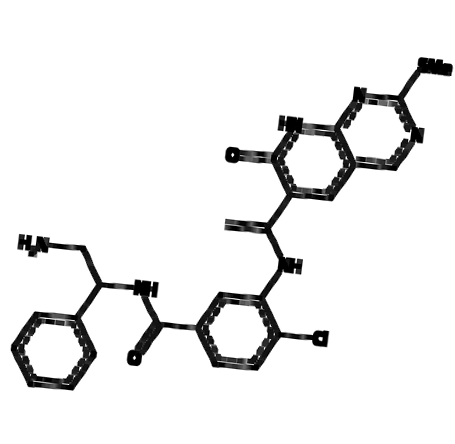 C=C(Nc1cc(C(=O)NC(CN)c2ccccc2)ccc1Cl)c1cc2cnc(SC)nc2[nH]c1=O